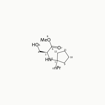 CCCC1(N[C@@H](CO)C(=O)OC)CCCC1